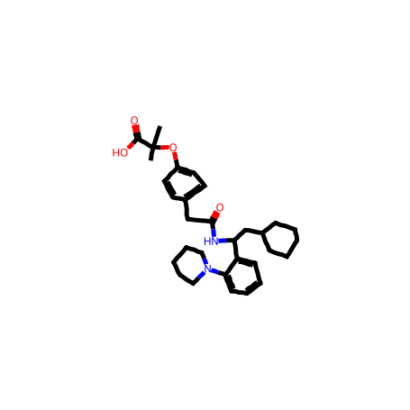 CC(C)(Oc1ccc(CC(=O)NC(CC2CCCCC2)c2ccccc2N2CCCCC2)cc1)C(=O)O